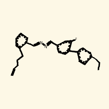 C=CCCCc1ccccc1C=NN=Cc1ccc(-c2ccc(CC)cc2)c(F)c1